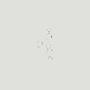 C[C@H]1Cn2cc(-c3ccc(Cl)cc3)c(-c3ccccc3)c2S1